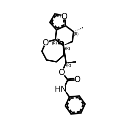 C[C@@H]1C[C@@]23CCCCO[C@@]2(CC=C3[C@@H](C)OC(=O)Nc2ccccc2)c2ccoc21